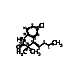 CCC/C=C1\c2cc(Cl)ccc2NC(=O)C1(C)C